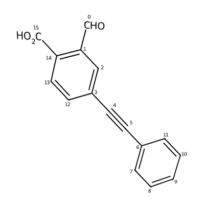 O=Cc1cc(C#Cc2ccccc2)ccc1C(=O)O